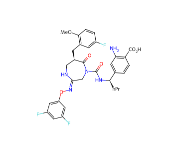 CCC[C@@H](NC(=O)N1C/C(=N/Oc2cc(F)cc(F)c2)NC[C@@H](Cc2cc(F)ccc2OC)C1=O)c1ccc(C(=O)O)c(N)c1